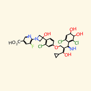 N=C(C1=C(Cl)C(O)C(O)C=C1Cl)/C(COc1ccc(C2(O)CN(c3ncc(C(=O)O)cc3F)C2)c(Cl)c1)=C(\O)C1CC1